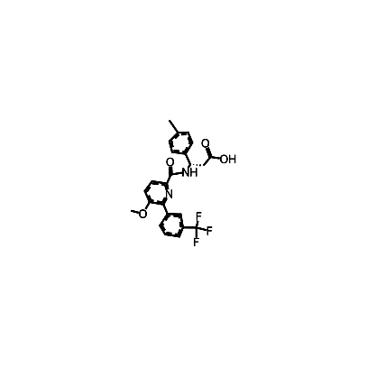 COc1ccc(C(=O)N[C@@H](CC(=O)O)c2ccc(C)cc2)nc1-c1cccc(C(F)(F)F)c1